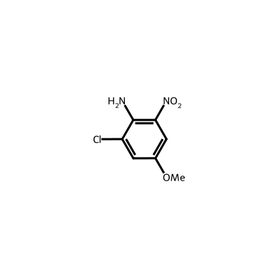 COc1cc(Cl)c(N)c([N+](=O)[O-])c1